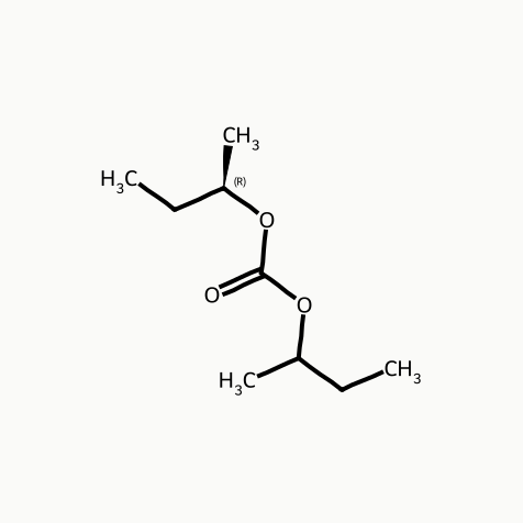 CCC(C)OC(=O)O[C@H](C)CC